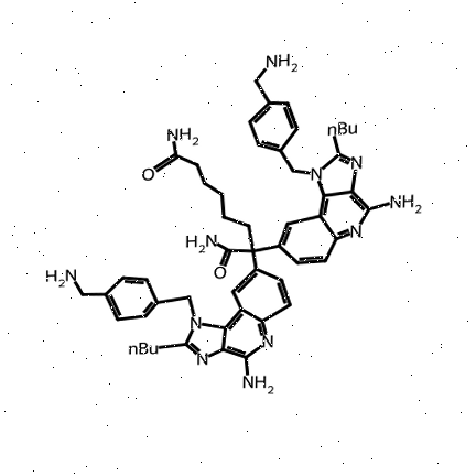 CCCCc1nc2c(N)nc3ccc(C(CCCCCC(N)=O)(C(N)=O)c4ccc5nc(N)c6nc(CCCC)n(Cc7ccc(CN)cc7)c6c5c4)cc3c2n1Cc1ccc(CN)cc1